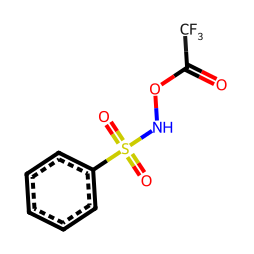 O=C(ONS(=O)(=O)c1ccccc1)C(F)(F)F